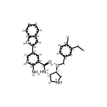 CCc1cc(CO[C@H]2CNC[C@@H]2NC(=O)c2cc(-c3cc4ccccc4o3)cnc2N)ccc1C